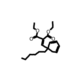 CCCCCCC1(C=C(C(=O)OCC)C(=O)OCC)C=CC=CC1